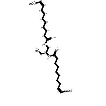 CCCCCCCC/C=C\CCCCCCCC(=N)O[C@@H](CO)COC(=O)CCCCCCC/C=C\CCCCCCCC